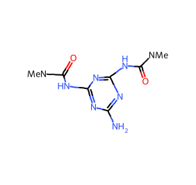 CNC(=O)Nc1nc(N)nc(NC(=O)NC)n1